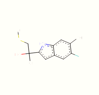 CCSCC(C)(O)c1cc2cc(F)c(C)cc2[nH]1